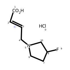 Cl.O=C(O)/C=C/CN1CCC(F)C1